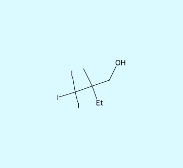 CCC(C)(CO)C(I)(I)I